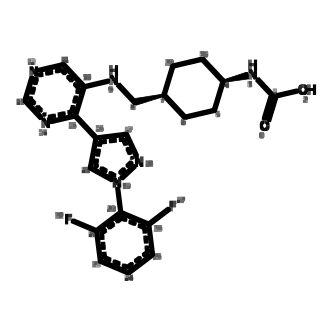 O=C(O)N[C@H]1CC[C@@H](CNc2cncnc2-c2cnn(-c3c(F)cccc3F)c2)CC1